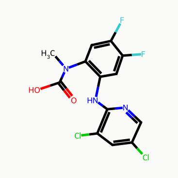 CN(C(=O)O)c1cc(F)c(F)cc1Nc1ncc(Cl)cc1Cl